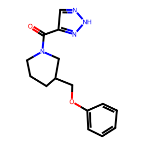 O=C(c1cn[nH]n1)N1CCCC(COc2ccccc2)C1